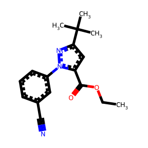 CCOC(=O)c1cc(C(C)(C)C)nn1-c1cccc(C#N)c1